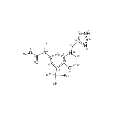 COC(=O)N(C)c1cc2c(c(C(F)(F)F)c1)OCCN2Cc1c[nH]cn1